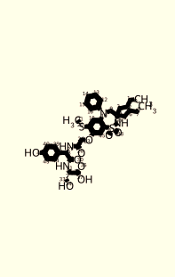 CCCCC1(CCCC)CN(c2ccccc2)c2cc(SC)c(OCC(=O)N[C@@H](C(=O)N[C@@H](CO)C(=O)O)c3ccc(O)cc3)cc2S(=O)(=O)N1